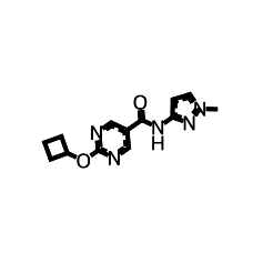 Cn1ccc(NC(=O)c2cnc(OC3CCC3)nc2)n1